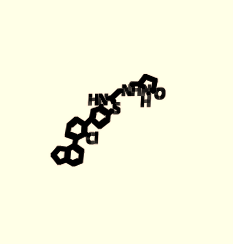 O=C1CCC(CNCC2Nc3cc(-c4cccc(-c5cccc6c5CCC6)c4Cl)ccc3S2)N1